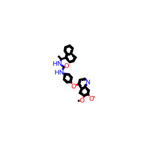 COc1cc2nccc(Oc3ccc(NC(=O)NC(C)c4cccc5ccccc45)cc3)c2cc1OC